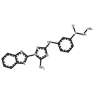 CCCCN[S+]([O-])c1cccc(Nc2nc(N)n(-c3nc4ccccc4s3)n2)c1